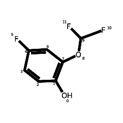 Oc1ccc(F)cc1OC(F)F